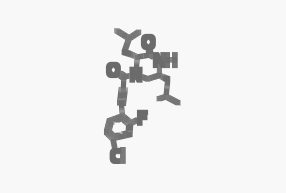 CC(C)C[C@H]1CN(C(=O)C#Cc2ccc(Cl)cc2F)[C@@H](CC(C)C)C(=O)N1